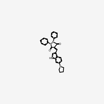 O=C1C(=Cc2c[nH]c3cc(N4CCCC4)ccc23)C(=O)N(c2ccccc2)N1c1ccccc1